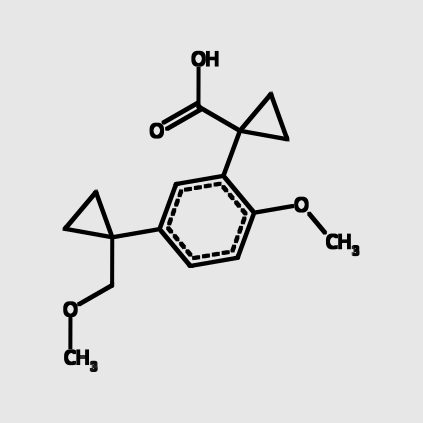 COCC1(c2ccc(OC)c(C3(C(=O)O)CC3)c2)CC1